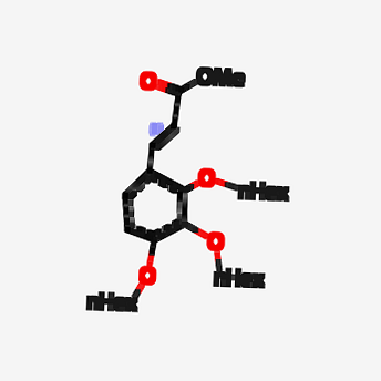 CCCCCCOc1ccc(/C=C/C(=O)OC)c(OCCCCCC)c1OCCCCCC